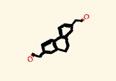 O=CCc1ccc2c(c1)CCc1cc(CC=O)ccc1-2